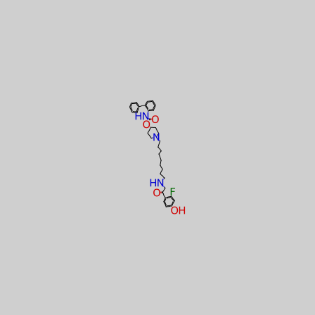 O=C(Nc1ccccc1-c1ccccc1)OC1CCN(CCCCCCCCCNCC(=O)c2ccc(O)cc2F)CC1